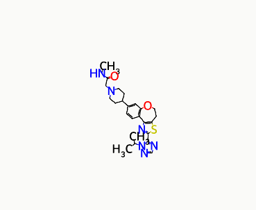 CNC(=O)CN1CCC(c2ccc3c(c2)OCCc2sc(-c4ncnn4C(C)C)nc2-3)CC1